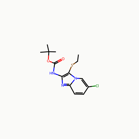 CCSc1c(NC(=O)OC(C)(C)C)nc2ccc(Cl)cn12